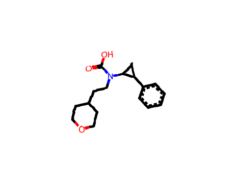 O=C(O)N(CCC1CCOCC1)C1CC1c1ccccc1